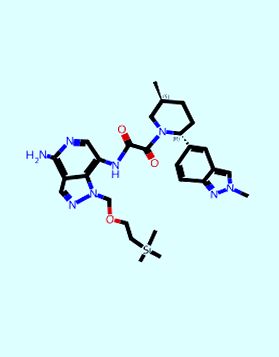 C[C@H]1CC[C@H](c2ccc3nn(C)cc3c2)N(C(=O)C(=O)Nc2cnc(N)c3cnn(COCC[Si](C)(C)C)c23)C1